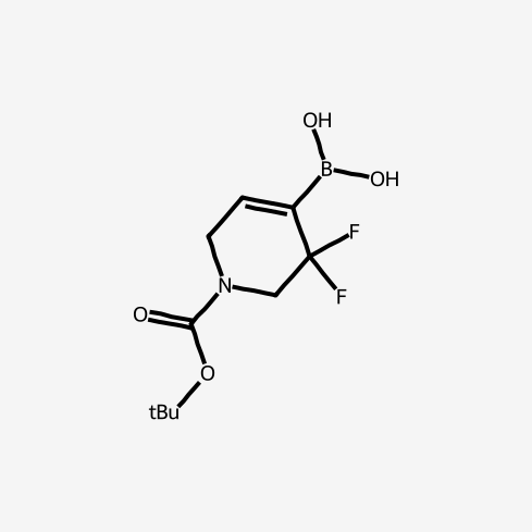 CC(C)(C)OC(=O)N1CC=C(B(O)O)C(F)(F)C1